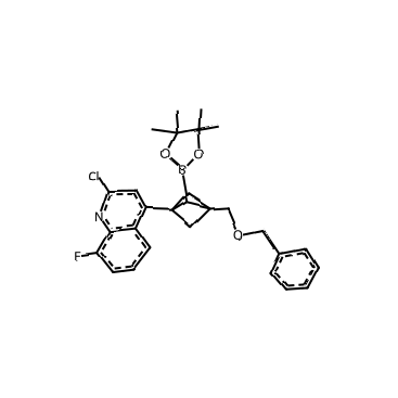 CC1(C)OB(C2C3(COCc4ccccc4)CC2(c2cc(Cl)nc4c(F)cccc24)C3)OC1(C)C